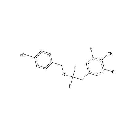 CCCc1ccc(COC(F)(F)Cc2cc(F)c(C#N)c(F)c2)cc1